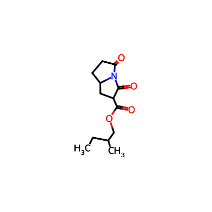 CCC(C)COC(=O)C1CC2CCC(=O)N2C1=O